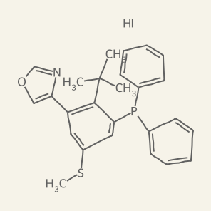 CSc1cc(-c2cocn2)c(C(C)(C)C)c(P(c2ccccc2)c2ccccc2)c1.I